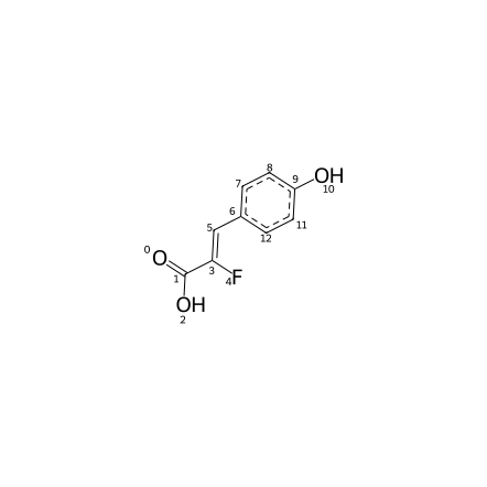 O=C(O)/C(F)=C/c1ccc(O)cc1